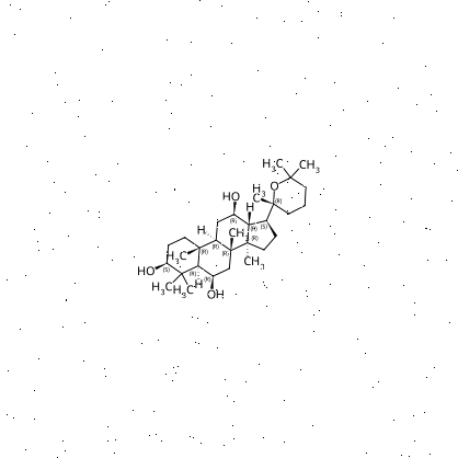 CC1(C)CCC[C@](C)([C@H]2CC[C@]3(C)[C@@H]2[C@H](O)C[C@@H]2[C@@]4(C)CC[C@H](O)C(C)(C)[C@@H]4[C@H](O)C[C@]23C)O1